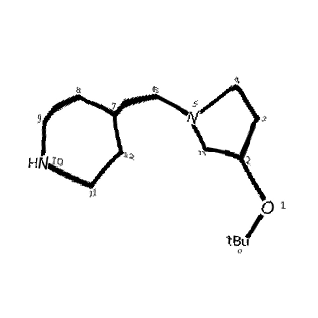 CC(C)(C)OC1CCN(CC2CCNCC2)C1